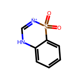 O=S1(=O)[N+]=CNc2ccccc21